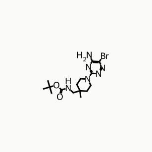 CC1(CNC(=O)OC(C)(C)C)CCN(c2nnc(Br)c(N)n2)CC1